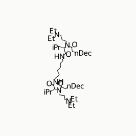 CCCCCCCCCCCC(=O)N(CCCN(CC)CC)C(C(=O)NCCCCCCNC(=O)C(C(C)C)N(CCCN(CC)CC)C(=O)CCCCCCCCCCC)C(C)C